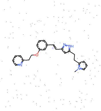 Cn1cccc1CCc1cc(/C=C/c2cccc(OCCc3ccccn3)c2)n[nH]1